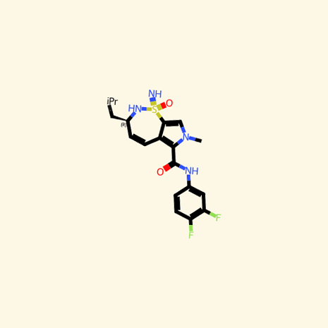 CC(C)C[C@@H]1C=Cc2c(cn(C)c2C(=O)Nc2ccc(F)c(F)c2)S(=N)(=O)N1